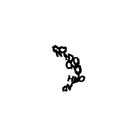 O=C(NCCCN1CCCC1)c1ccc(OC2CCN(Cc3cccc4cccnc34)CC2)c(Cl)c1